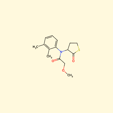 COCC(=O)N(c1cccc(C)c1C)C1CCSC1=O